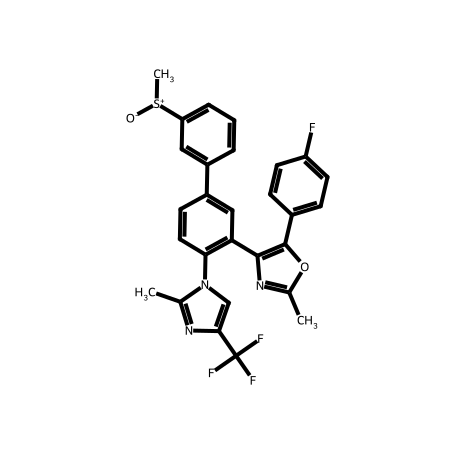 Cc1nc(-c2cc(-c3cccc([S+](C)[O-])c3)ccc2-n2cc(C(F)(F)F)nc2C)c(-c2ccc(F)cc2)o1